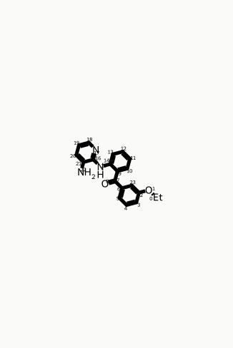 CCOc1cccc(C(=O)c2ccccc2Nc2ncccc2N)c1